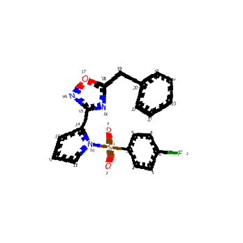 O=S(=O)(c1ccc(F)cc1)n1cccc1-c1noc(Cc2ccccc2)n1